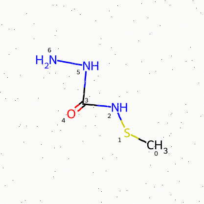 CSNC(=O)NN